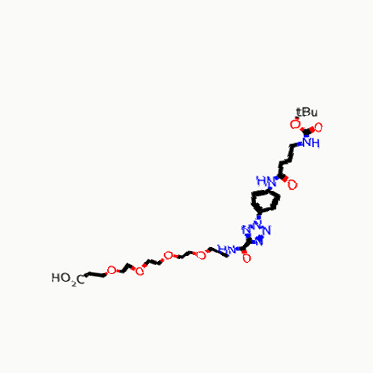 CC(C)(C)OC(=O)NCCCC(=O)Nc1ccc(-n2nnc(C(=O)NCCOCCOCCOCCOCCC(=O)O)n2)cc1